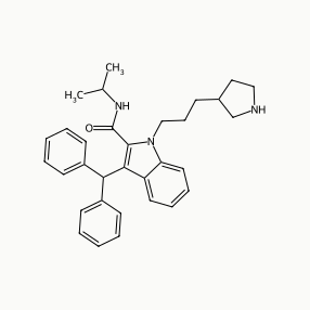 CC(C)NC(=O)c1c(C(c2ccccc2)c2ccccc2)c2ccccc2n1CCCC1CCNC1